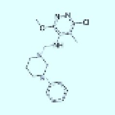 COc1nnc(Cl)c(C)c1NC[C@H]1CCC[C@@H](c2ccccc2)C1